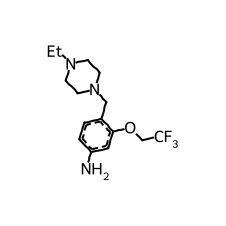 CCN1CCN(Cc2ccc(N)cc2OCC(F)(F)F)CC1